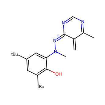 C=C1C(C)=NC=N/C1=N/N(C)c1cc(C(C)(C)C)cc(C(C)(C)C)c1O